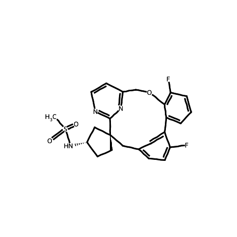 CS(=O)(=O)N[C@H]1CC[C@@]2(Cc3ccc(F)c(c3)-c3cccc(F)c3OCc3ccnc2n3)C1